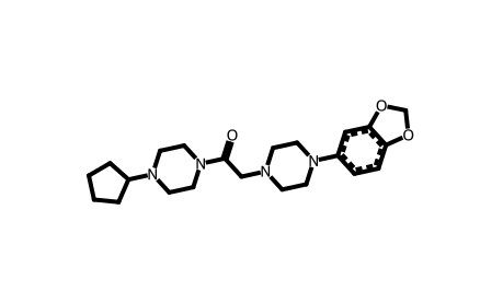 O=C(CN1CCN(c2ccc3c(c2)OCO3)CC1)N1CCN(C2CCCC2)CC1